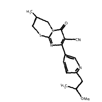 COC(C)Cc1ccc(-c2nc3n(c(=O)c2C#N)CC(C)CS3)cn1